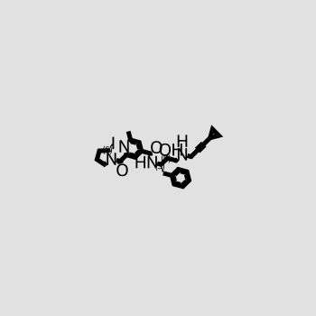 Cc1cc(C(=O)N[C@@H](Cc2ccccc2)[C@H](O)CNCC#CC2CC2)cc(C(=O)N2CCC[C@@H]2I)n1